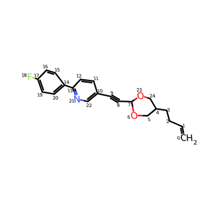 C=CCCC1COC(C#Cc2ccc(-c3ccc(F)cc3)nc2)OC1